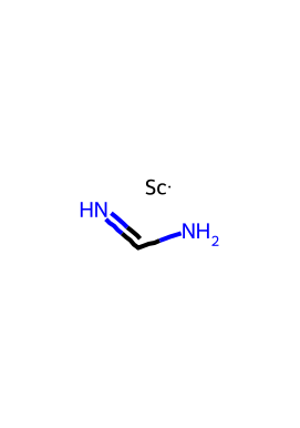 N=CN.[Sc]